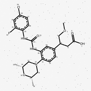 COCC(CC(=O)O)c1ccc(N2C[C@@H](C)O[C@@H](C)C2)c(NC(=O)Nc2ccc(Cl)cc2F)c1